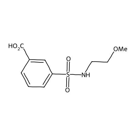 COCCNS(=O)(=O)c1cccc(C(=O)O)c1